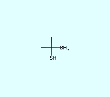 BC(C)(C)S